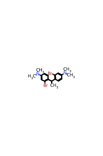 CC(c1ccc(N(C)C)cc1Br)c1ccc(N(C)C)cc1Br